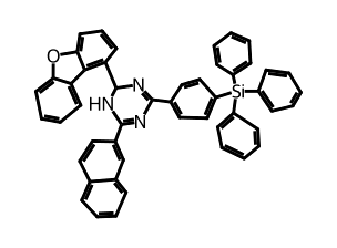 c1ccc([Si](c2ccccc2)(c2ccccc2)c2ccc(C3=NC(c4cccc5oc6ccccc6c45)NC(c4ccc5ccccc5c4)=N3)cc2)cc1